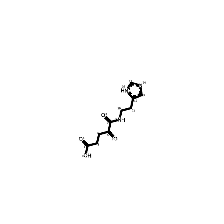 O=C(O)CCC(=O)C(=O)NCCc1cnc[nH]1